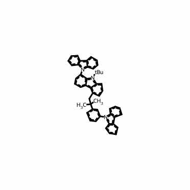 CC(C)(Cc1cccc2c1c1cccc(-n3c4ccccc4c4ccccc43)c1n2C(C)(C)C)c1cccc(-n2c3ccccc3c3ccccc32)c1